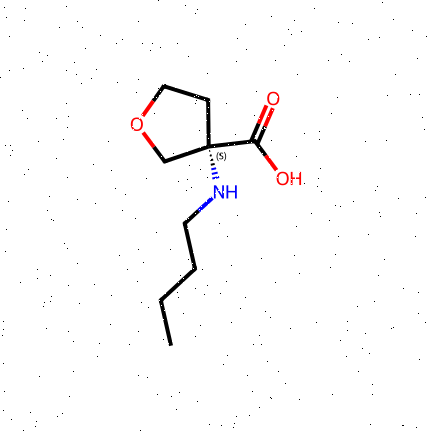 CCCCN[C@@]1(C(=O)O)CCOC1